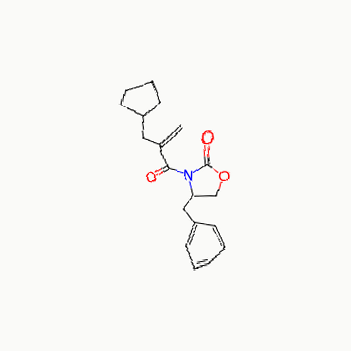 C=C(CC1CCCC1)C(=O)N1C(=O)OCC1Cc1ccccc1